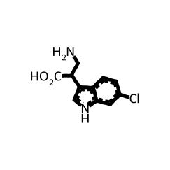 NCC(C(=O)O)c1c[nH]c2cc(Cl)ccc12